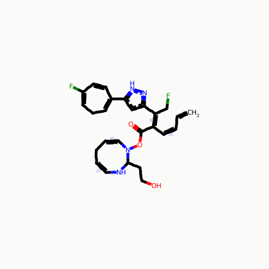 C=C/C=C\C(C(=O)ON1/C=C\C/C=C\NC1CCO)=C(/CF)c1cc(C2=CCC=C(F)C=C2)[nH]n1